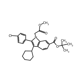 COC(=O)Cn1c(-c2ccc(Cl)cc2)c(C2CCCCC2)c2ccc(C(=O)OC(C)(C)C)cc21